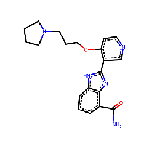 NC(=O)c1cccc2[nH]c(-c3cnccc3OCCCN3CCCC3)nc12